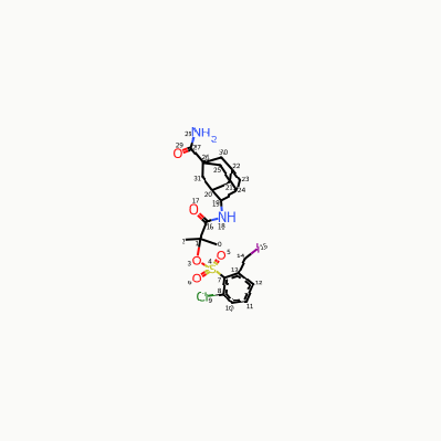 CC(C)(OS(=O)(=O)c1c(Cl)cccc1CI)C(=O)NC1C2CC3CC1CC(C(N)=O)(C3)C2